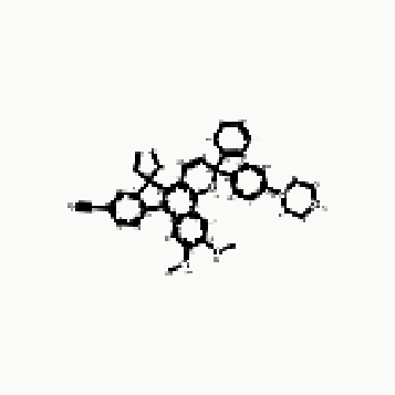 CCC1(CC)c2cc(C#N)ccc2-c2c1c1c(c3cc(OC)c(OC)cc23)OC(C2=CC=CCC2)(c2ccc(N3CCOCC3)cc2)C=C1